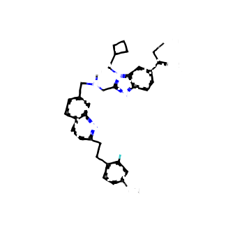 C=C(CC(C)(C)C)c1ccc2nc(CN(CC)Cc3ccc4ccc(CCc5ccc(C#N)cc5F)nc4c3)n(CC3CCC3)c2c1